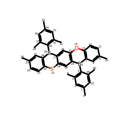 Cc1cc(C)c(B2c3cc(C)ccc3Oc3cc4c(cc32)Sc2ccc(C)cc2B4c2c(C)cc(C)cc2C)c(C)c1